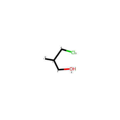 [CH2]C(CO)CCl